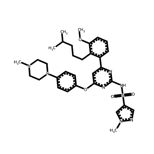 COc1cccc(-c2cc(Oc3ccc(N4CCN(C)CC4)cc3)nc(NS(=O)(=O)c3cnn(C)c3)n2)c1CCCC(C)C